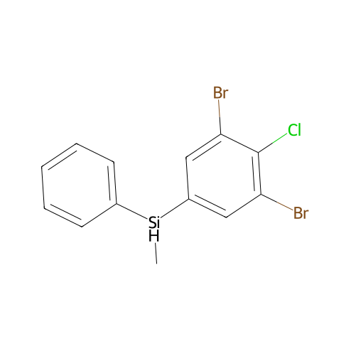 C[SiH](c1ccccc1)c1cc(Br)c(Cl)c(Br)c1